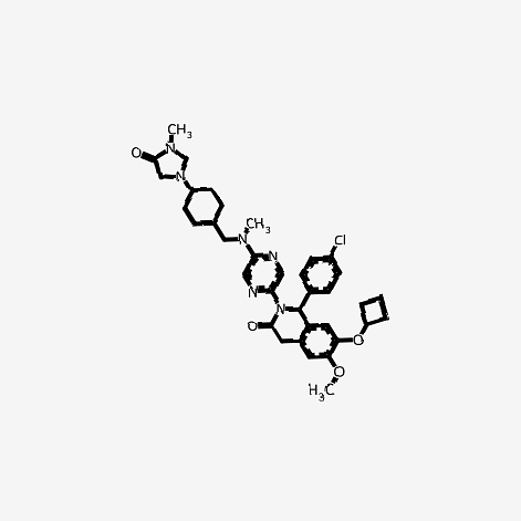 COc1cc2c(cc1OC1CCC1)C(c1ccc(Cl)cc1)N(c1cnc(N(C)CC3CCC(N4CC(=O)N(C)C4)CC3)cn1)C(=O)C2